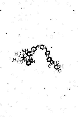 CCC1(CC)C(=O)N(c2cccc3ncnn23)[C@H]1c1cc(F)c(N2CCC(CN3CCN(CC4CCN(c5ccc6c(c5)CN([C@H]5CCC(=O)NC5=O)C6=O)CC4)CC3)CC2)cc1OC